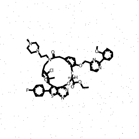 CCOC(=O)[C@H]1Cc2cc(ccc2OCc2ccnc(-c3ccccc3OC)n2)CC(=O)N(CCN2CCN(C)CC2)Cc2ccc(c(C)c2Cl)-c2c(-c3ccc(F)cc3)sc3ncnc(c23)O1